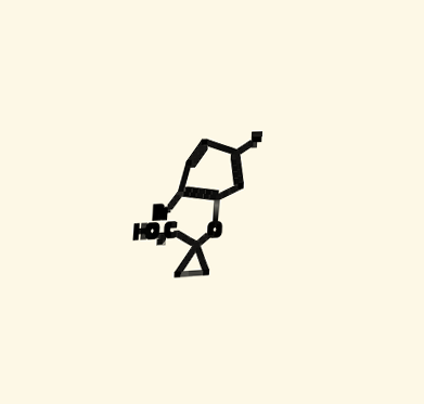 O=C(O)C1(Oc2cc(F)ccc2Br)CC1